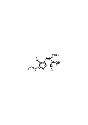 CC=CC1=Cc2c(cc(C=O)c(O)c2C)C1=O